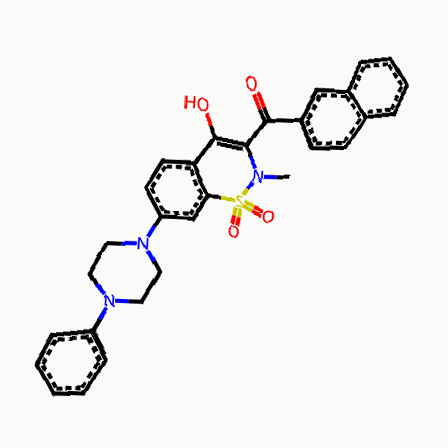 CN1C(C(=O)c2ccc3ccccc3c2)=C(O)c2ccc(N3CCN(c4ccccc4)CC3)cc2S1(=O)=O